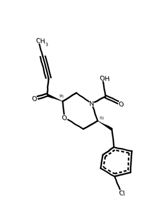 CC#CC(=O)[C@H]1CN(C(=O)O)[C@@H](Cc2ccc(Cl)cc2)CO1